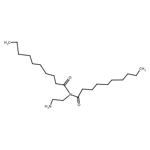 CCCCCCCCCC(=O)N(CCN)C(=O)CCCCCCCCC